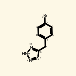 Brc1ccc(Cc2nn[nH]n2)cc1